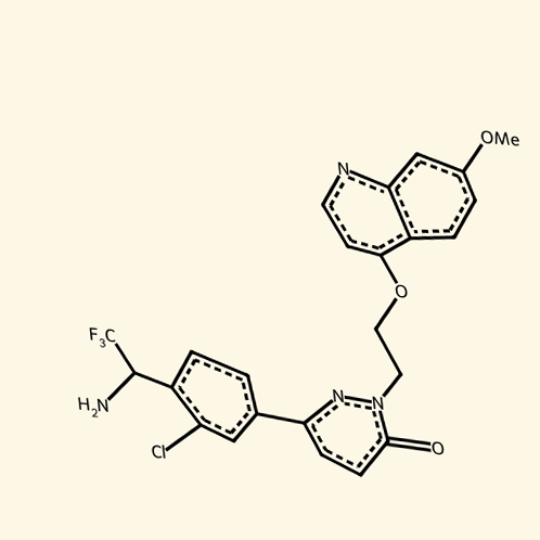 COc1ccc2c(OCCn3nc(-c4ccc(C(N)C(F)(F)F)c(Cl)c4)ccc3=O)ccnc2c1